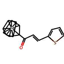 O=C(C=Cc1cccs1)[C]12[CH]3[CH]4[CH]5[CH]1[Fe]45321678[CH]2[CH]1[CH]6[CH]7[CH]28